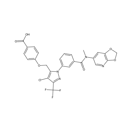 CN(C(=O)c1cccc(-n2nc(C(F)(F)F)c(Cl)c2COc2ccc(C(=O)O)cc2)c1)c1cnc2c(c1)OCO2